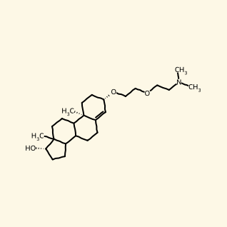 CN(C)CCOCCO[C@@H]1C=C2CCC3C4CC[C@H](O)C4(C)CCC3[C@@]2(C)CC1